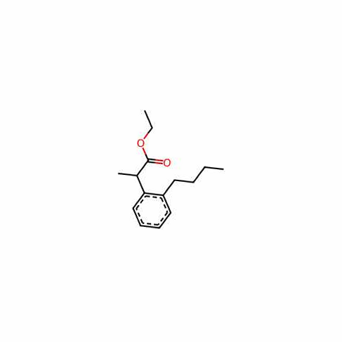 CCCCc1ccccc1C(C)C(=O)OCC